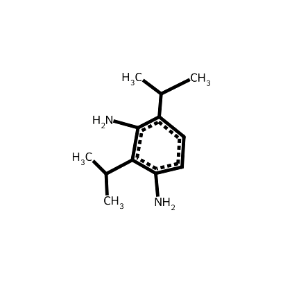 CC(C)c1ccc(N)c(C(C)C)c1N